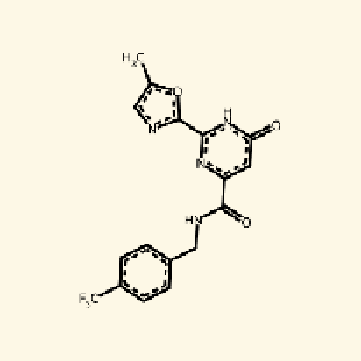 Cc1cnc(-c2nc(C(=O)NCc3ccc(C(F)(F)F)cc3)cc(=O)[nH]2)o1